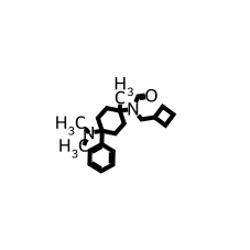 CN(C)C1(c2ccccc2)CCC(C)(N(C=O)CC2CCC2)CC1